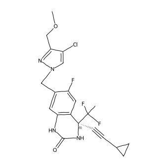 COCc1nn(Cc2cc3c(cc2F)[C@@](C#CC2CC2)(C(C)(F)F)NC(=O)N3)cc1Cl